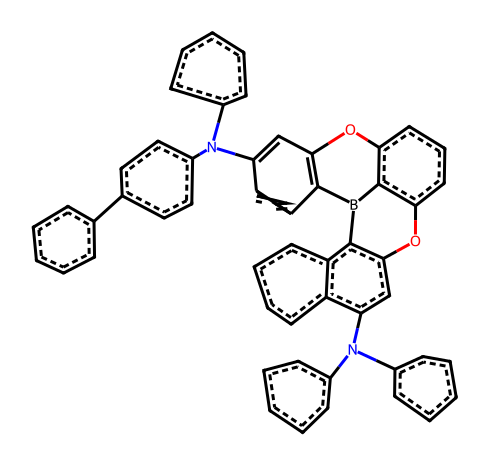 C1=CC2C(N(c3ccccc3)c3ccc(-c4ccccc4)cc3)=CC3=C(B4c5c(cccc5Oc5cc(N(c6ccccc6)c6ccccc6)c6ccccc6c54)O3)C2C=C1